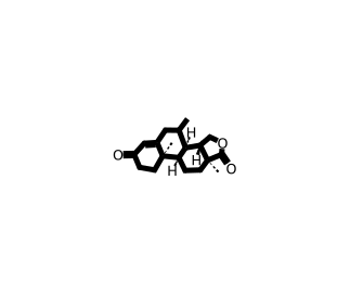 CC1CC2=CC(=O)CC[C@]2(C)[C@@H]2CC[C@]3(C)C(=O)OC[C@H]3[C@H]12